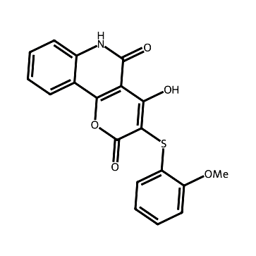 COc1ccccc1Sc1c(O)c2c(=O)[nH]c3ccccc3c2oc1=O